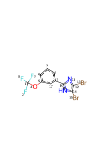 FC(F)(F)Oc1cccc(-c2nc(Br)c(Br)[nH]2)c1